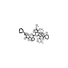 CCC(C)C(C(CC(=O)N1CCCC1C(OC)C(C)C(=O)NCCC1C=CC=CC=C1)OC)N(C)C(=O)C(NC(=O)C1(C)CCCCN1)C(C)C